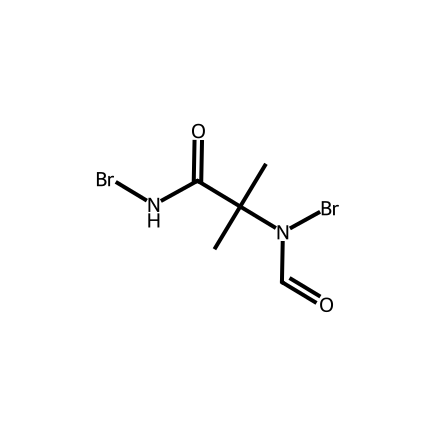 CC(C)(C(=O)NBr)N(Br)C=O